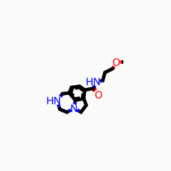 COCCCNC(=O)c1ccc2c3c1CCN3CCNC2